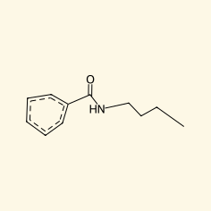 CCCCNC(=O)c1ccccc1